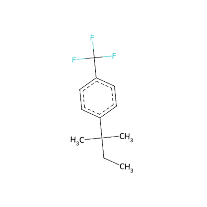 CCC(C)(C)c1ccc(C(F)(F)F)cc1